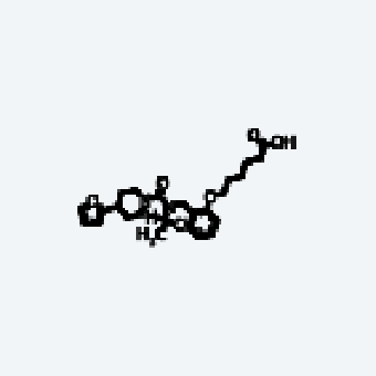 [2H]C(C)(C)N(Cc1ccccc1OCCCCCC(=O)O)C(=O)N1CCC(c2ccco2)CC1